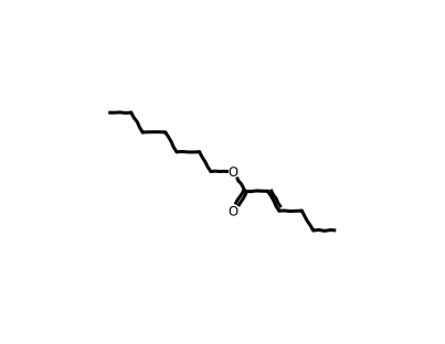 CCCC=CC(=O)OCCCCCCC